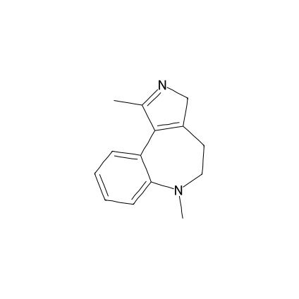 CC1=NCC2=C1c1ccccc1N(C)CC2